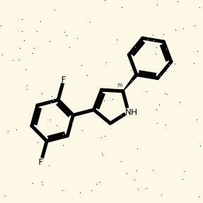 Fc1ccc(F)c(C2=C[C@@H](c3ccccc3)NC2)c1